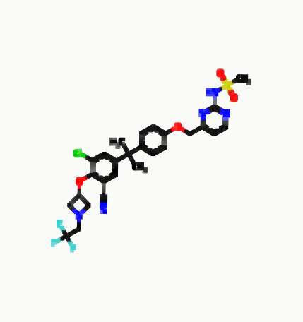 CC(C)(c1ccc(OCc2ccnc(NS(C)(=O)=O)n2)cc1)c1cc(Cl)c(OC2CN(CC(F)(F)F)C2)c(C#N)c1